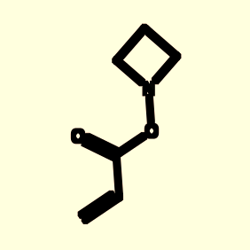 C=CC(=O)ON1CCC1